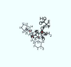 CC1CCC(CN(CCN2C3CCC2CC(c2cccc(C(N)=O)c2)C3)C(=O)CS(C)(=O)=O)CC1.O=C(O)C(F)(F)F